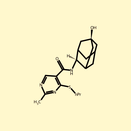 CCCSc1nc(C)ncc1C(=O)N[C@H]1C2CC3CC1C[C@@](O)(C3)C2